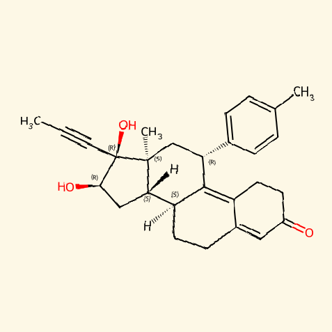 CC#C[C@@]1(O)[C@H](O)C[C@H]2[C@@H]3CCC4=CC(=O)CCC4=C3[C@@H](c3ccc(C)cc3)C[C@@]21C